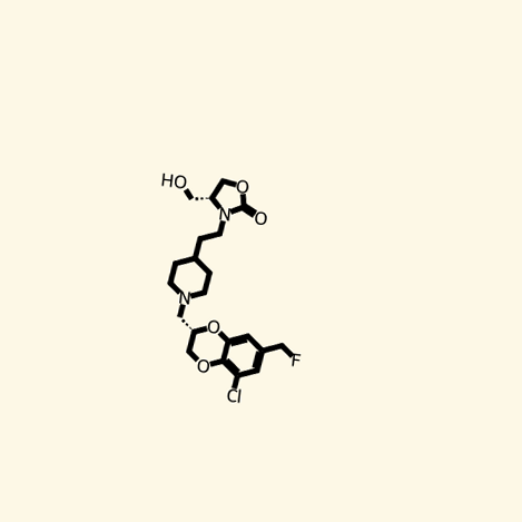 O=C1OC[C@@H](CO)N1CCC1CCN(C[C@H]2COc3c(Cl)cc(CF)cc3O2)CC1